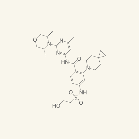 Cc1cc(NC(=O)c2ccc(NS(=O)(=O)CCO)cc2N2CCC3(CC2)CC3)nc(N2[C@H](C)COC[C@H]2C)n1